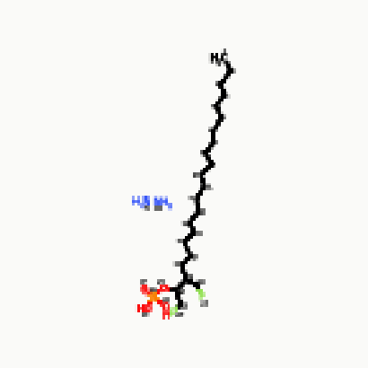 CCCCCCCCCCCCCCCCCCCC(CF)C(CF)OP(=O)(O)O.N.N